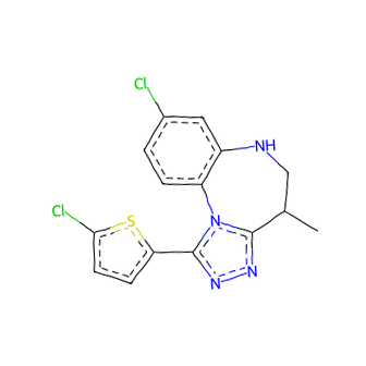 CC1CNc2cc(Cl)ccc2-n2c(-c3ccc(Cl)s3)nnc21